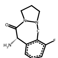 N[C@@H]1C(=O)N2CCCN2Cc2c(F)cccc21